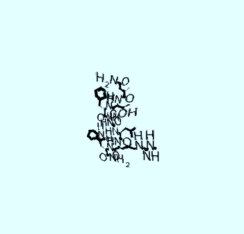 CNC(=N)NCCC[C@H](NC(=O)[C@H](CC(C)C)NC(=O)NNC(=O)[C@H](Cc1ccccc1)NC(=O)[C@@H](NC(=O)[C@@H](C)CC(N)=O)[C@@H](C)O)C(=O)N[C@@H](Cc1c[nH]c2ccccc12)C(N)=O